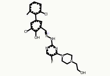 Cc1cccc(Cl)c1-c1cc(Cl)c(O)c(/C=N/Nc2ncc(F)c(N3CCN(CCO)CC3)n2)c1